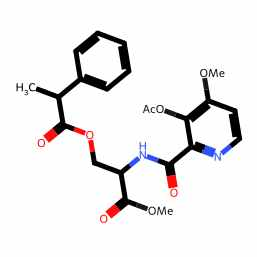 COC(=O)C(COC(=O)C(C)c1ccccc1)NC(=O)c1nccc(OC)c1OC(C)=O